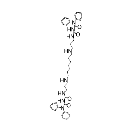 O=C(NCCCNCCCCCCCNCCCNC(=O)NC(=O)N(c1ccccc1)c1ccccc1)NC(=O)N(c1ccccc1)c1ccccc1